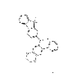 CC1(C)c2ccccc2-c2ccc(Nc3cc4c(cc3-c3ccccc3)OCCO4)cc21